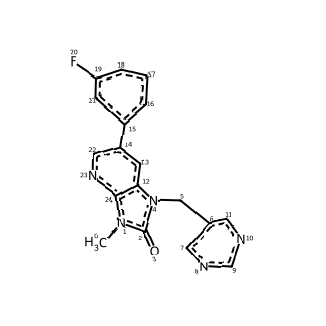 Cn1c(=O)n(Cc2cncnc2)c2cc(-c3cccc(F)c3)cnc21